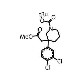 COC(=O)CC1(c2ccc(Cl)c(Cl)c2)CCCN(C(=O)OC(C)(C)C)C1